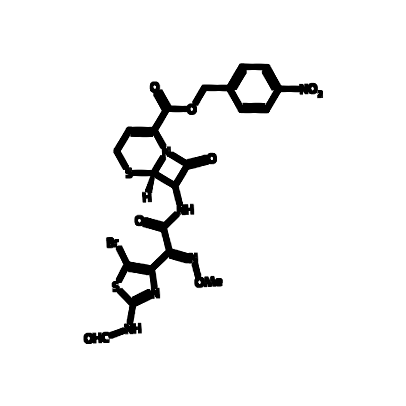 CON=C(C(=O)NC1C(=O)N2C(C(=O)OCc3ccc([N+](=O)[O-])cc3)=CCS[C@@H]12)c1nc(NC=O)sc1Br